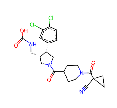 N#CC1(C(=O)N2CCC(C(=O)N3C[C@H](CNC(=O)O)[C@H](c4ccc(Cl)c(Cl)c4)C3)CC2)CC1